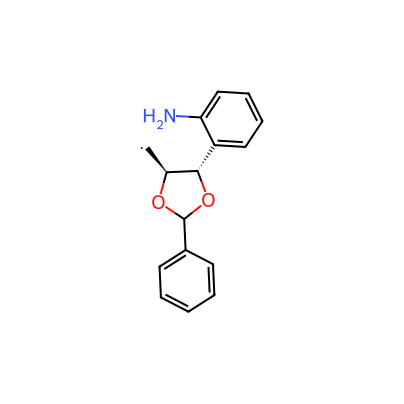 [CH2][C@@H]1OC(c2ccccc2)O[C@H]1c1ccccc1N